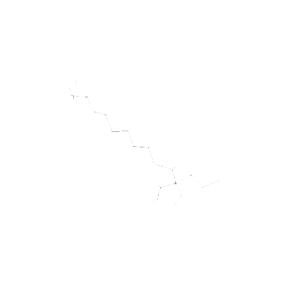 CCCC(CO)(CCC)CCCCCCCCCCO